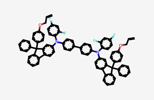 C=CCOc1ccc(C2(c3ccccc3)c3ccccc3-c3ccc(N(c4ccc(-c5ccc(N(c6ccc7c(c6)C(c6ccccc6)(c6ccc(OCC=C)cc6)c6ccccc6-7)c6ccc(F)cc6F)cc5)cc4)c4ccc(F)cc4F)cc32)cc1